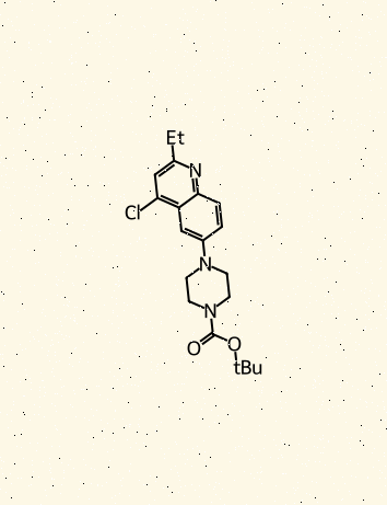 CCc1cc(Cl)c2cc(N3CCN(C(=O)OC(C)(C)C)CC3)ccc2n1